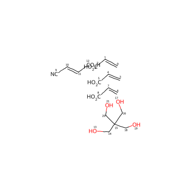 C=CC(=O)O.C=CC(=O)O.C=CC(=O)O.N#CC=CC(=O)O.OCC(CO)(CO)CO